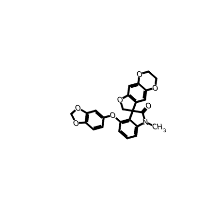 CN1C(=O)C2(COc3cc4c(cc32)OCCO4)c2c(Oc3ccc4c(c3)OCO4)cccc21